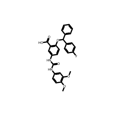 COc1ccc(NC(=O)Nc2ccc(OC(c3ccccc3)c3ccc(F)cc3)c(C(=O)O)c2)cc1OC